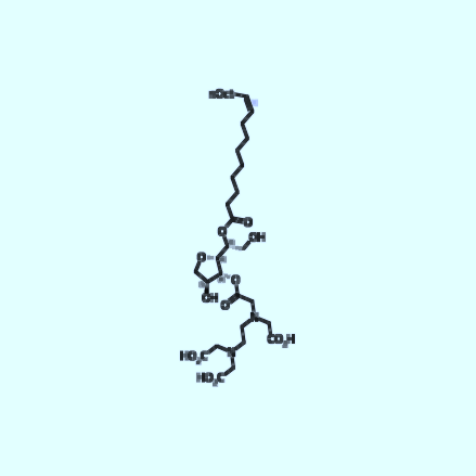 CCCCCCCC/C=C\CCCCCCCC(=O)O[C@H](CO)[C@H]1OC[C@H](O)[C@H]1OC(=O)CN(CCN(CC(=O)O)CC(=O)O)CC(=O)O